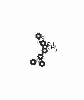 CC1(C)c2ccc(-c3ccc4c(c3)c3ccccc3n4-c3ccccc3)cc2-c2cc3c(cc21)Sc1ccccc1S3